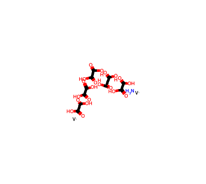 N.O=C(O)C(=O)O.O=C(O)C(=O)O.O=C(O)C(=O)O.O=C(O)C(=O)O.O=C(O)C(=O)O.[V].[V]